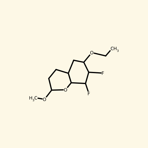 CCOC1CC2CCC(OC)OC2C(F)C1F